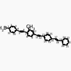 Bc1ccc(C#Cc2ccc(C#Cc3ccc(C#Cc4ccccc4)cc3)cc2C)cc1